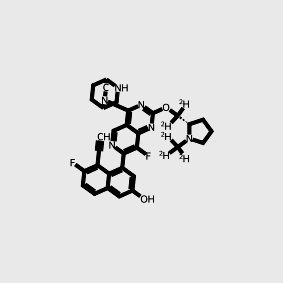 [2H]C([2H])(Oc1nc(N2CC3CCC2CN3)c2cnc(-c3cc(O)cc4ccc(F)c(C#C)c34)c(F)c2n1)[C@@H]1CCCN1C([2H])([2H])[2H]